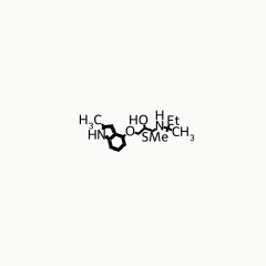 CCC(C)(NCC(O)COc1cccc2[nH]c(C)cc12)SC